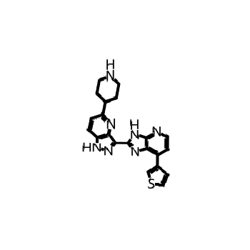 c1cc(-c2ccsc2)c2nc(-c3n[nH]c4ccc(C5CCNCC5)nc34)[nH]c2n1